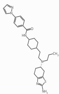 CCCN(CCC1CCC(NC(=O)c2ccc(-n3cccn3)cc2)CC1)[C@H]1CCc2nc(N)sc2C1